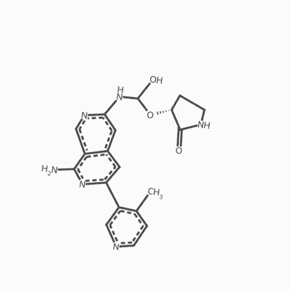 Cc1ccncc1-c1cc2cc(NC(O)O[C@@H]3CCNC3=O)ncc2c(N)n1